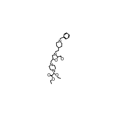 CCOC(=O)C(OCC)N1CCN(CC2CN(CCC3CCN(Cc4ccccc4)CC3)C(C=O)O2)CC1